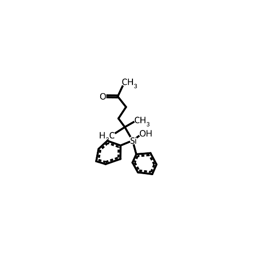 CC(=O)CCC(C)(C)[Si](O)(c1ccccc1)c1ccccc1